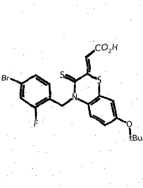 CC(C)(C)Oc1ccc2c(c1)S/C(=C\C(=O)O)C(=S)N2Cc1ccc(Br)cc1F